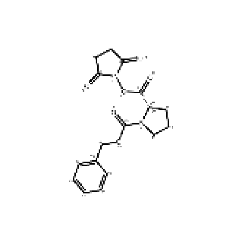 O=C(ON1C(=O)CCC1=O)[C@@H]1CCCN1C(=O)OCc1ccccc1